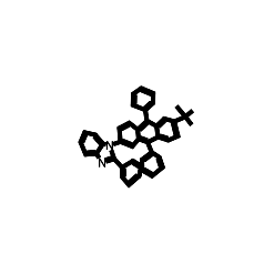 CC(C)(C)c1ccc2c(-c3ccccc3)c3cc(-n4c(-c5ccccc5)nc5ccccc54)ccc3c(-c3ccccc3)c2c1